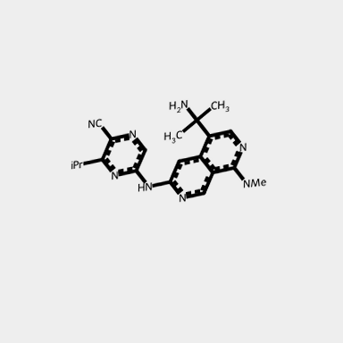 CNc1ncc(C(C)(C)N)c2cc(Nc3cnc(C#N)c(C(C)C)n3)ncc12